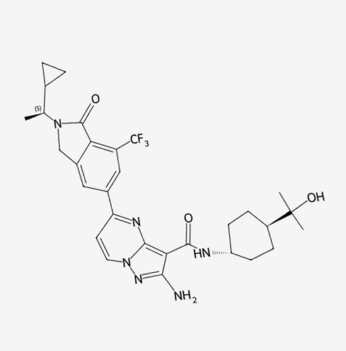 C[C@@H](C1CC1)N1Cc2cc(-c3ccn4nc(N)c(C(=O)N[C@H]5CC[C@H](C(C)(C)O)CC5)c4n3)cc(C(F)(F)F)c2C1=O